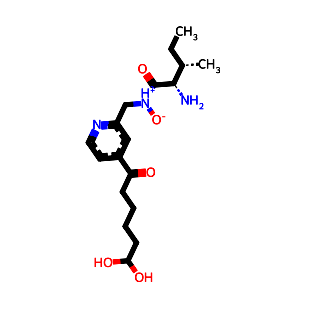 CC[C@H](C)[C@H](N)C(=O)[NH+]([O-])Cc1cc(C(=O)CCCCC(O)O)ccn1